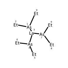 CC[As](CC)[La]([As](CC)CC)[As](CC)CC